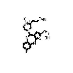 CCOCCC1CN(C2=Nc3ccc(F)cc3Nc3sc(C)cc32)CCN1C.Cl